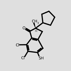 C[C@@]1(C2CCCC2)Cc2cc(S)c(Cl)c(Cl)c2C1=O